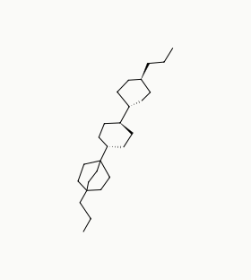 CCCC12CCC([C@H]3CC[C@H]([C@H]4CC[C@H](CCC)CC4)CC3)(CC1)CC2